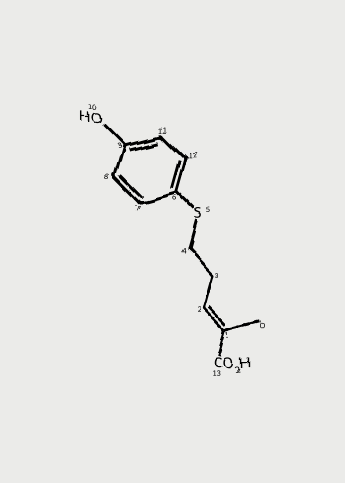 CC(=CCCSc1ccc(O)cc1)C(=O)O